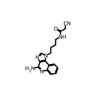 N#CCC(=O)NCCCCn1cnc2c(N)nc3ccccc3c21